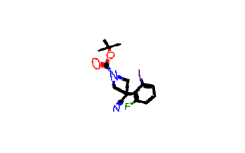 CC(C)(C)OC(=O)N1CC(C#N)(c2c(F)cccc2I)C1